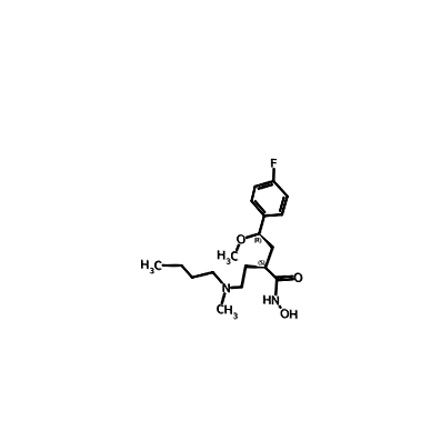 CCCCN(C)CC[C@@H](C[C@@H](OC)c1ccc(F)cc1)C(=O)NO